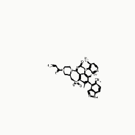 C=CC(=O)N1CCN2c3nc(=O)n(-c4c(C)ccnc4C(C)C)c4c(F)c(-c5c(C)ccc6[nH]ncc56)c(F)c(c34)S(=O)(=O)CC2C1